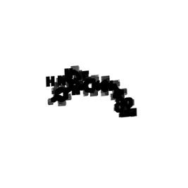 Cc1ccc(-c2nn([C@H]3CCN(C4CN(CC5CN(C(=O)OC(C)(C)C)C5)C4)C[C@H]3F)c3ncnc(N)c23)cc1